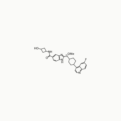 CO[C@@H](c1nc2cc(C(=O)NC3CC(O)C3)ccc2[nH]1)C1CCC(c2ccnc3ccc(F)cc23)CC1